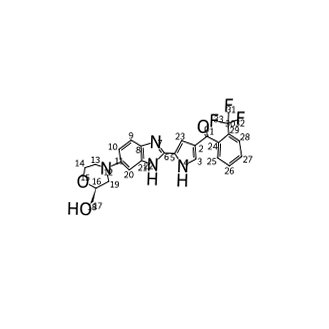 O=C(c1c[nH]c(-c2nc3ccc(N4CCO[C@H](CO)C4)cc3[nH]2)c1)c1ccccc1C(F)(F)F